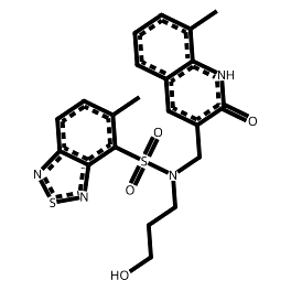 Cc1ccc2nsnc2c1S(=O)(=O)N(CCCO)Cc1cc2cccc(C)c2[nH]c1=O